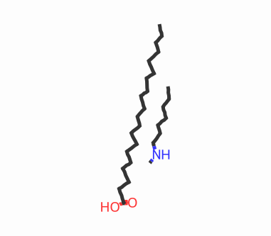 CCCCCCCCCCCCCCCCCCCC(=O)O.CCCCCCCNC